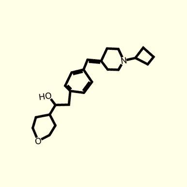 OC(Cc1ccc(C=C2CCN(C3CCC3)CC2)cc1)C1CCOCC1